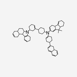 CC1(C)C2=CC(N(C3=CCC(C4=CC=C5C=CC=CC5C4)CC3)C3CCC(C4=CCCC(N5C6=C(C=CCC6)C6C7CC=CCC7CCC65)C4)CC3)=CCC2C2=CCCCC21